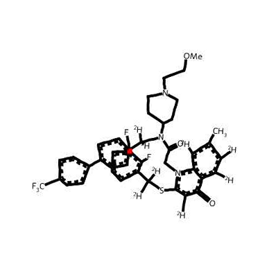 [2H]c1c(C)c([2H])c2c(c1[2H])c(=O)c([2H])c(SC([2H])([2H])c1cccc(F)c1F)n2CC(=O)N(C1CCN(CCOC)CC1)C([2H])([2H])c1ccc(-c2ccc(C(F)(F)F)cc2)cc1